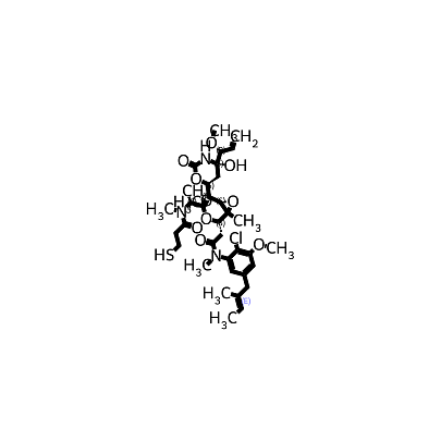 C=C[C@@H](OC)[C@@]1(O)C[C@@H]([C@@H](C)[C@@H]2OC2(C)[C@H](CC(=O)N(C)c2cc(C/C(C)=C/C)cc(OC)c2Cl)OC(=O)[C@H](C)N(C)C(=O)CCS)OC(=O)N1